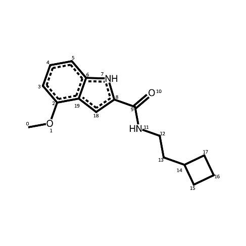 COc1cccc2[nH]c(C(=O)NCCC3CCC3)cc12